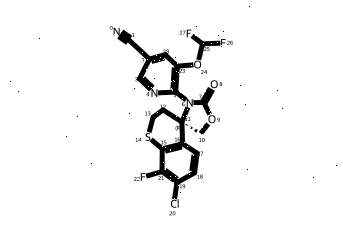 N#Cc1cnc(N2C(=O)OC[C@]23CCSc2c3ccc(Cl)c2F)c(OC(F)F)c1